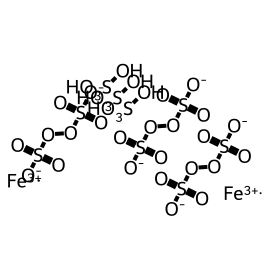 O=S(=O)(O)O.O=S(=O)(O)O.O=S(=O)(O)O.O=S(=O)([O-])OOS(=O)(=O)[O-].O=S(=O)([O-])OOS(=O)(=O)[O-].O=S(=O)([O-])OOS(=O)(=O)[O-].[Fe+3].[Fe+3]